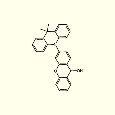 CC1(C)c2ccccc2N(c2ccc3c(c2)Oc2ccccc2C3O)c2ccccc21